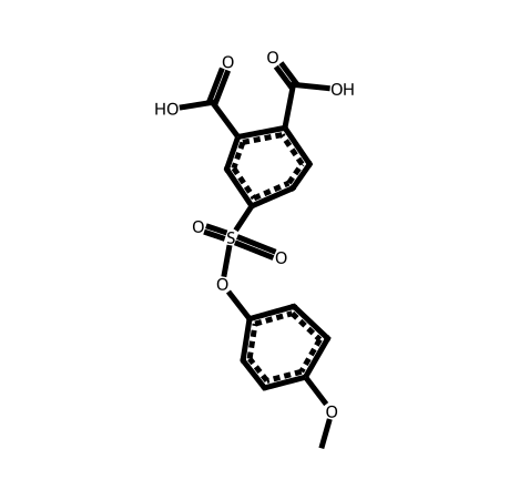 COc1ccc(OS(=O)(=O)c2ccc(C(=O)O)c(C(=O)O)c2)cc1